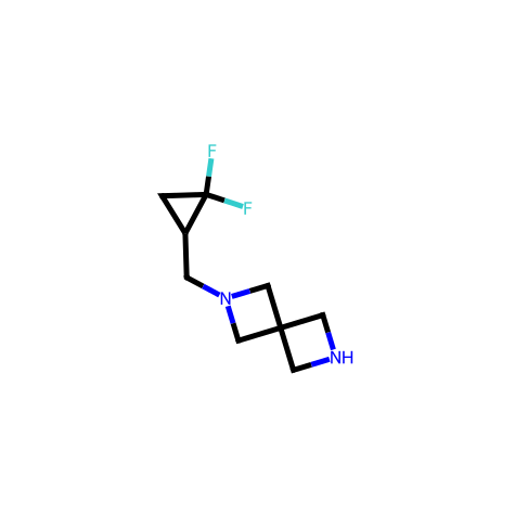 FC1(F)CC1CN1CC2(CNC2)C1